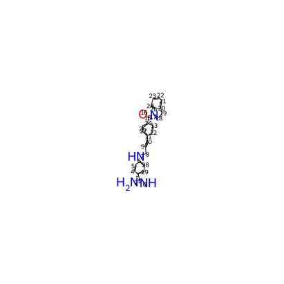 N=C(N)c1ccc(NCC#Cc2ccc(C(=O)N3CCc4ccccc43)cc2)cc1